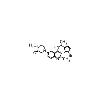 Cc1nc(NC(C)c2ccc(Br)s2)c2cc(N3CCN(C)C(=O)C3)ccc2n1